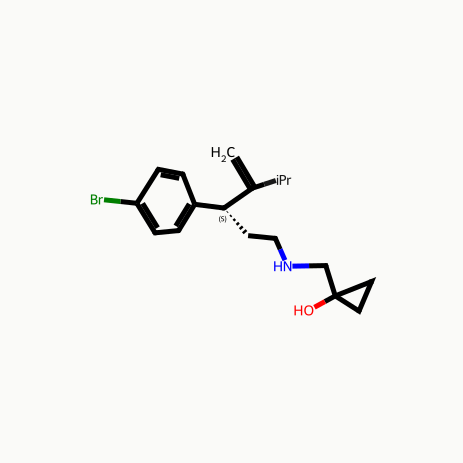 C=C(C(C)C)[C@H](CCNCC1(O)CC1)c1ccc(Br)cc1